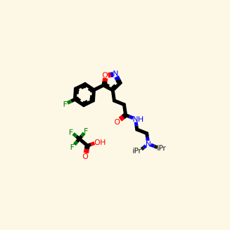 CC(C)N(CCNC(=O)CCc1cnoc1-c1ccc(F)cc1)C(C)C.O=C(O)C(F)(F)F